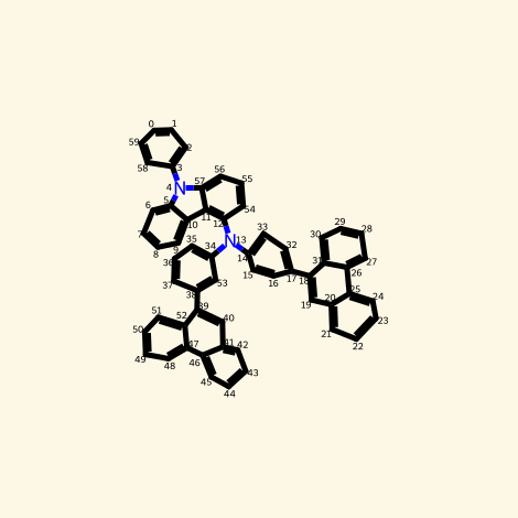 c1ccc(-n2c3ccccc3c3c(N(c4ccc(-c5cc6ccccc6c6ccccc56)cc4)c4cccc(-c5cc6ccccc6c6ccccc56)c4)cccc32)cc1